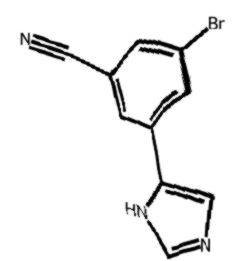 N#Cc1cc(Br)cc(-c2cnc[nH]2)c1